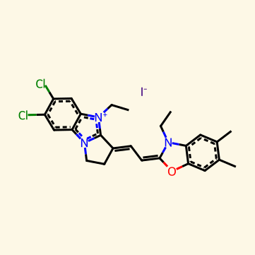 CCN1C(=CC=C2CCn3c2[n+](CC)c2cc(Cl)c(Cl)cc23)Oc2cc(C)c(C)cc21.[I-]